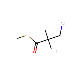 CCCSC(=O)C(C)(C)CN